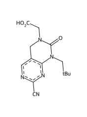 CC(C)(C)CN1C(=O)N(CC(=O)O)Cc2cnc(C#N)nc21